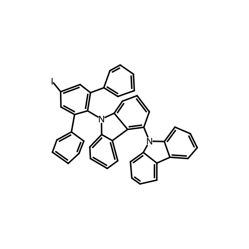 Ic1cc(-c2ccccc2)c(-n2c3ccccc3c3c(-n4c5ccccc5c5ccccc54)cccc32)c(-c2ccccc2)c1